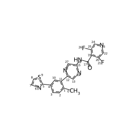 Cc1ccc(-c2nccs2)cc1-c1cnc(NC(=O)c2c(F)cncc2F)cn1